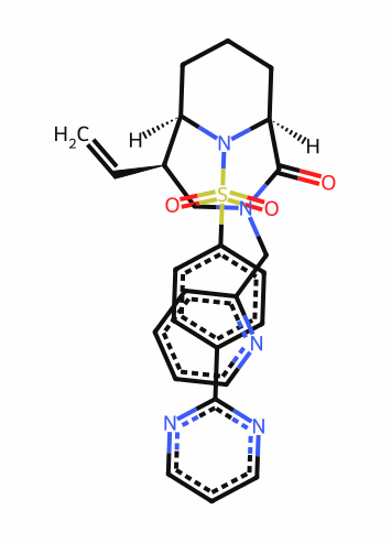 C=C[C@@H]1CN(Cc2ccccn2)C(=O)[C@@H]2CCC[C@H]1N2S(=O)(=O)c1ccc(-c2ncccn2)cc1